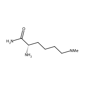 CNCCCC[C@H](N)C(N)=O